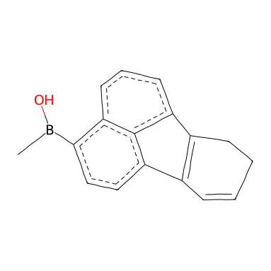 CB(O)c1ccc2c3c(cccc13)C1=C2C=CCC1